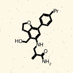 C=C(CNc1cc(-c2ccc(C(C)C)cc2)c2c(c1CO)CCO2)C(N)=O